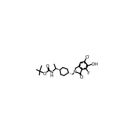 CC(NC(=O)OC(C)(C)C)[C@H]1CC[C@H](CN2Cc3cc(Cl)c(O)c(F)c3C2=O)CC1